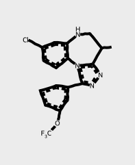 CC1CNc2cc(Cl)ccc2-n2c(-c3cccc(OC(F)(F)F)c3)nnc21